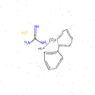 CC(=O)O.N=C(N)N.S.c1ccc(-c2ccccc2)cc1